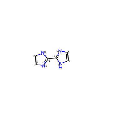 C1=CN=C(c2ncc[nH]2)[N]1